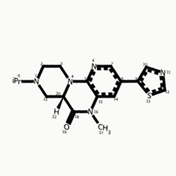 CC(C)N1CCN2c3ncc(-c4cncs4)cc3N(C)C(=O)[C@@H]2C1